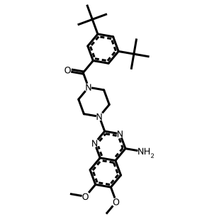 COc1cc2nc(N3CCN(C(=O)c4cc(C(C)(C)C)cc(C(C)(C)C)c4)CC3)nc(N)c2cc1OC